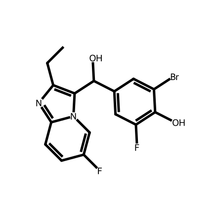 CCc1nc2ccc(F)cn2c1C(O)c1cc(F)c(O)c(Br)c1